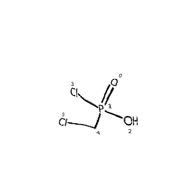 O=P(O)(Cl)CCl